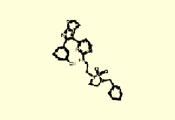 O=S1(=O)N(CCNc2nccc(-c3c(-c4cccc(O)c4)nc4sccn34)n2)CCN1Cc1ccccc1